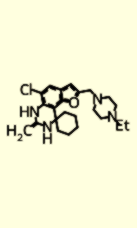 C=C1Nc2c(Cl)cc3cc(CN4CCN(CC)CC4)oc3c2C2(CCCCC2)N1